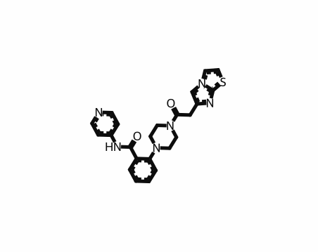 O=C(Nc1ccncc1)c1ccccc1N1CCN(C(=O)Cc2cn3ccsc3n2)CC1